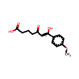 CSc1ccc(/C(O)=C/C(=O)CCCC(=O)O)cc1